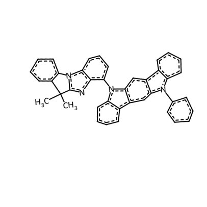 CC1(C)c2ccccc2-n2c1nc1c(-n3c4ccccc4c4cc5c(cc43)c3ccccc3n5-c3ccccc3)cccc12